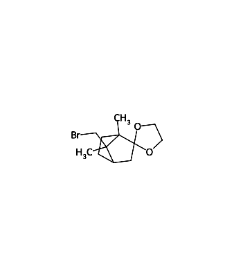 CC1(CBr)C2CCC1(C)C1(C2)OCCO1